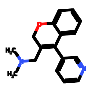 CN(C)CC1=C(c2cccnc2)c2ccccc2OC1